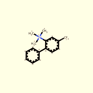 C[N+](C)(C)c1cc(C(F)(F)F)ccc1-c1ccccc1